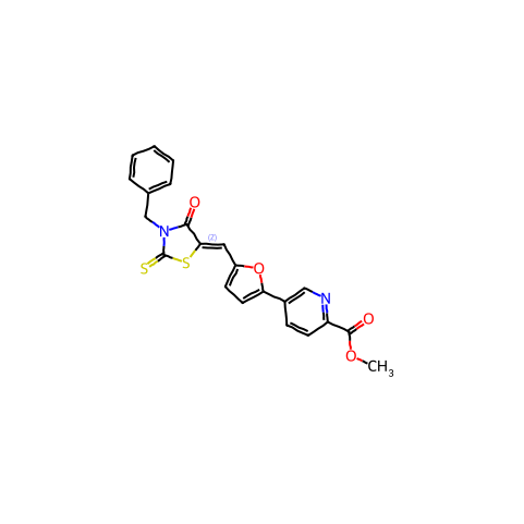 COC(=O)c1ccc(-c2ccc(/C=C3\SC(=S)N(Cc4ccccc4)C3=O)o2)cn1